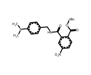 CCCCOC(=O)c1ccc([N+](=O)[O-])cc1C(=O)NCc1ccc(N(C)C)cc1